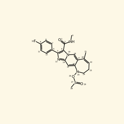 CNC(=O)c1c(-c2ccc(F)cc2)nc2cc3c(cn12)C(C)=CCCN3OS(C)=O